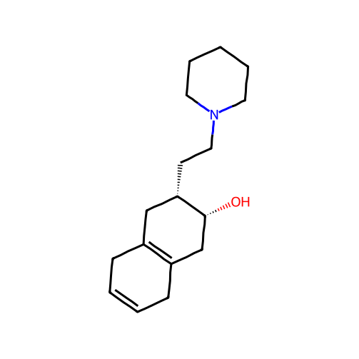 O[C@@H]1CC2=C(CC=CC2)C[C@@H]1CCN1CCCCC1